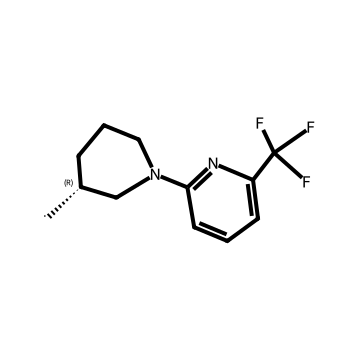 [CH2][C@@H]1CCCN(c2cccc(C(F)(F)F)n2)C1